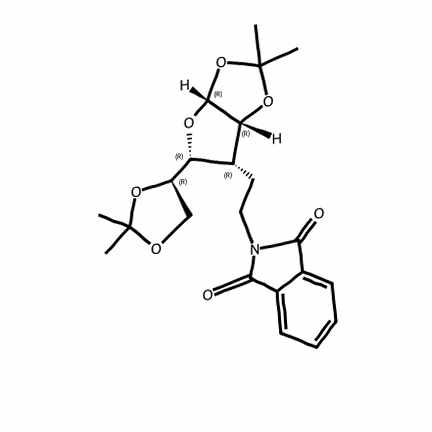 CC1(C)O[C@H]2O[C@@H]([C@H]3COC(C)(C)O3)[C@@H](CCN3C(=O)c4ccccc4C3=O)[C@H]2O1